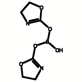 OB(OC1=NCCO1)OC1=NCCO1